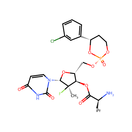 CC(C)[C@H](N)C(=O)O[C@@H]1[C@@H](CO[P@@]2(=O)OCC[C@@H](c3cccc(Cl)c3)O2)O[C@@H](n2ccc(=O)[nH]c2=O)[C@]1(C)F